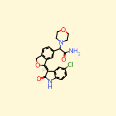 NC(=O)C(c1ccc2c(c1)/C(=C1/C(=O)Nc3ccc(Cl)cc31)OC2)N1CCOCC1